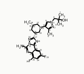 Cc1nn(CC(C)(C)O)cc1N1C[C@@H](C)C[C@@H](c2nc3c4cc(F)cc(F)c4nc(N)n3n2)C1